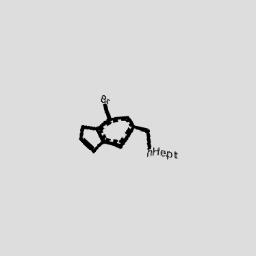 CCCCCCCCc1cc(Br)c2c(c1)C=CC2